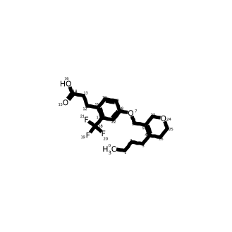 CCCCC1=C(COc2ccc(CCC(=O)O)c(C(F)(F)F)c2)COCC1